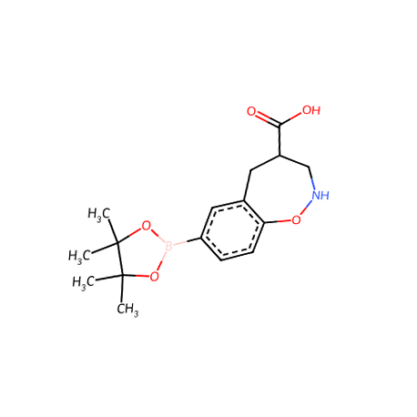 CC1(C)OB(c2ccc3c(c2)CC(C(=O)O)CNO3)OC1(C)C